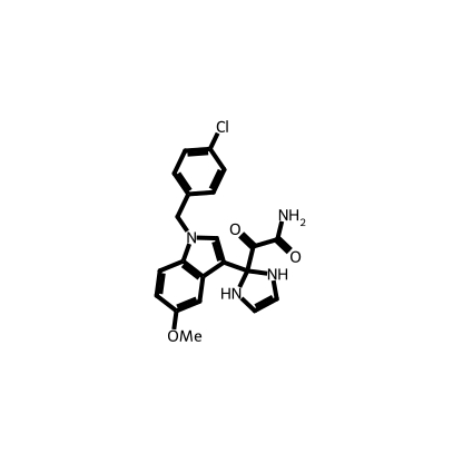 COc1ccc2c(c1)c(C1(C(=O)C(N)=O)NC=CN1)cn2Cc1ccc(Cl)cc1